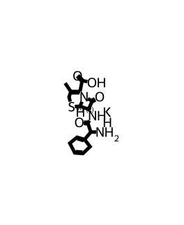 CC1=C(C(=O)O)N2C(=O)[C@@H](NC(=O)C(N)C3=CCC=CC3)[C@H]2SC1.[KH]